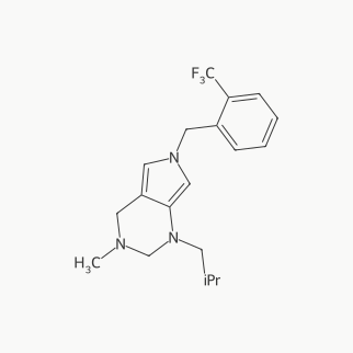 CC(C)CN1CN(C)Cc2cn(Cc3ccccc3C(F)(F)F)cc21